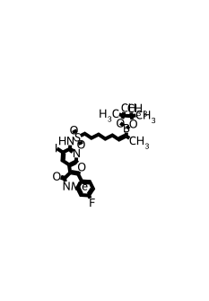 CNC(=O)c1c(-c2ccc(F)cc2)oc2nc(NS(=O)(=O)CCCCC/C=C(/C)B3OC(C)(C)C(C)(C)O3)c(I)cc12